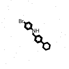 Brc1ccc(NCc2ccc(C3CCCCC3)cc2)cc1